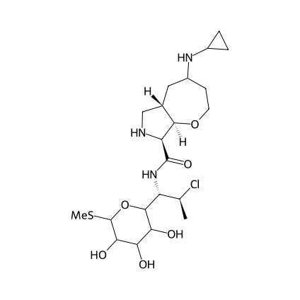 CSC1OC([C@H](NC(=O)[C@H]2NC[C@@H]3CC(NC4CC4)CCO[C@H]32)[C@H](C)Cl)C(O)C(O)C1O